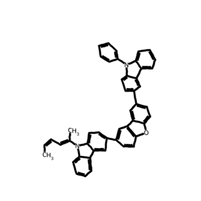 C/C=C\C=C(/C)n1c2ccccc2c2cc(-c3ccc4oc5ccc(-c6ccc7c(c6)c6ccccc6n7-c6ccccc6)cc5c4c3)ccc21